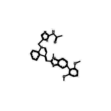 COc1cccc(OC)c1-c1ccc2c(c1)sc(C=C1C=CN(Cc3cnc(NC(C)=O)s3)c3ccccc31)[n+]2C